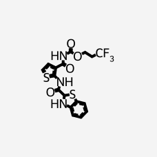 O=C(NC(=O)c1ccsc1NC(=O)C1Nc2ccccc2S1)OCCC(F)(F)F